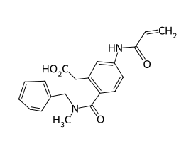 C=CC(=O)Nc1ccc(C(=O)N(C)Cc2ccccc2)c(CC(=O)O)c1